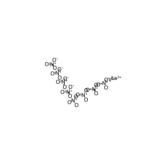 O=[N+]([O-])[O-].O=[N+]([O-])[O-].O=[N+]([O-])[O-].O=[N+]([O-])[O-].O=[N+]([O-])[O-].O=[N+]([O-])[O-].O=[N+]([O-])[O-].O=[N+]([O-])[O-].[La+3].[V+5]